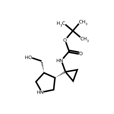 CC(C)(C)OC(=O)NC1([C@@H]2CNC[C@@H]2CO)CC1